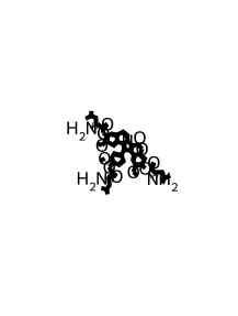 COc1cc(-c2c3c4cc(OC)c(OC(=O)[C@@H](N)CC(C)C)cc4oc(=O)c3n3ccc4cc(OC(=O)[C@@H](N)CC(C)C)c(OC)cc4c23)ccc1OC(=O)[C@@H](N)CC(C)C